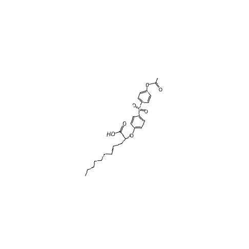 CCCCCCCCCC(Oc1ccc(S(=O)(=O)c2ccc(OC(C)=O)cc2)cc1)C(=O)O